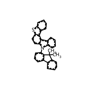 CC1(C)c2ccccc2-c2cccc(-n3c4ccccc4c4c5c(ccc43)sc3ccccc35)c21